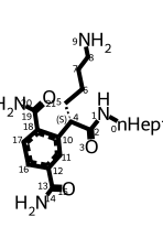 CCCCCCCNC(=O)[C@@H](CCCCN)c1cc(C(N)=O)ccc1C(N)=O